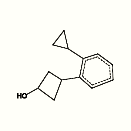 OC1CC(c2ccccc2C2CC2)C1